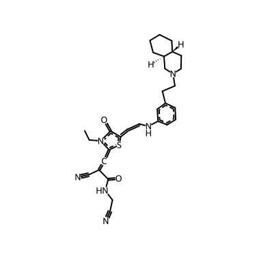 CCn1c(=C=C(C#N)C(=O)NCC#N)sc(=C=CNc2cccc(CCN3CC[C@H]4CCCC[C@@H]4C3)c2)c1=O